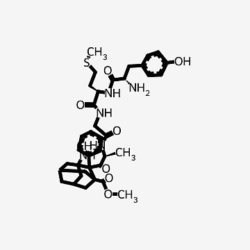 CNC12CC3CC(C1)CC(C(=O)OC)(C3)C2(C(=O)[C@H](C)NC(=O)CNC(=O)[C@@H](CCSC)NC(=O)[C@@H](N)Cc1ccc(O)cc1)c1ccccc1